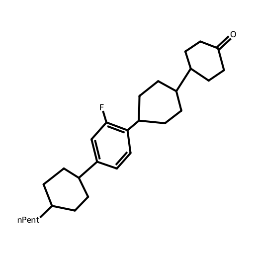 CCCCCC1CCC(c2ccc(C3CCC(C4CCC(=O)CC4)CC3)c(F)c2)CC1